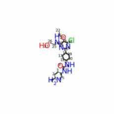 C=C/C=C\C(=C/N)NC(=O)Nc1ccc(-c2nc(Cl)c(OCC)c(NCCO)n2)cc1